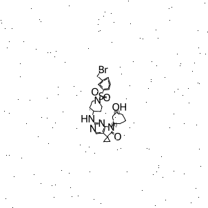 O=C1N([C@@H]2CCC[C@@H](O)C2)c2nc(NC3CCN(S(=O)(=O)c4cccc(CBr)c4)CC3)ncc2C12CC2